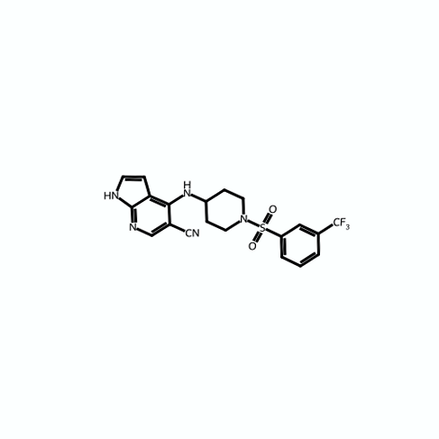 N#Cc1cnc2[nH]ccc2c1NC1CCN(S(=O)(=O)c2cccc(C(F)(F)F)c2)CC1